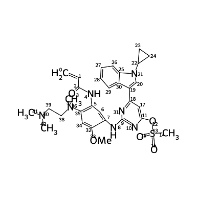 C=CC(=O)Nc1cc(Nc2nc(OS(C)(=O)=O)cc(-c3cn(C4CC4)c4ccccc34)n2)c(OC)cc1N(C)CCN(C)C